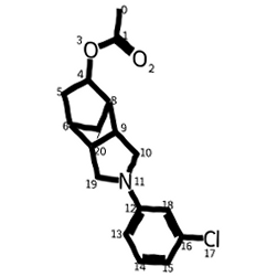 CC(=O)OC1CC2CC1C1CN(c3cccc(Cl)c3)CC21